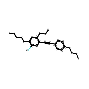 CCCCCc1cc(CCC)c(C#Cc2ccc(CCCC)cc2)cc1F